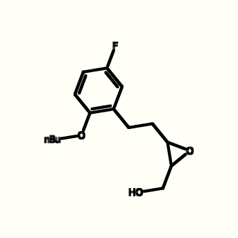 CCCCOc1ccc(F)cc1CCC1OC1CO